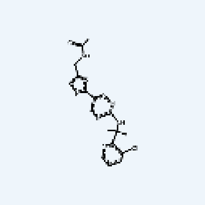 CC(=O)NCc1cnc(-c2cnc(NC(C)(C)c3ncccc3Cl)nn2)s1